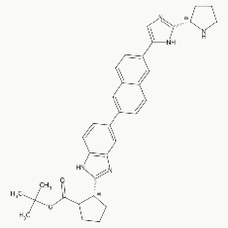 CC(C)(C)OC(=O)C1CCC[C@H]1c1nc2cc(-c3ccc4cc(-c5cnc([C@@H]6CCCN6)[nH]5)ccc4c3)ccc2[nH]1